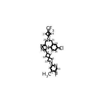 Cc1cc(N2CC3(CC(c4nnc5n4-c4ccc(Cl)cc4CN(C46CC(C(F)(F)F)(C4)C6)C5)C3)C2)ncc1F